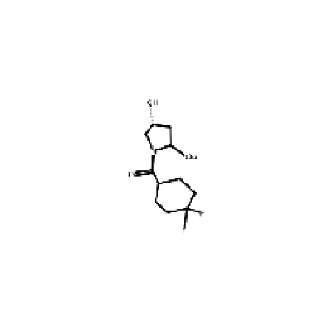 CC(C)(C)C1C[C@@H](O)CN1C(=O)C1CCC(F)(F)CC1